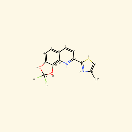 CC(C)c1csc(-c2c[c]c3ccc4c(c3n2)OC(F)(F)O4)n1